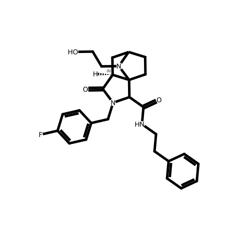 O=C(NCCc1ccccc1)C1N(Cc2ccc(F)cc2)C(=O)[C@H]2CC3CCC12N3CCO